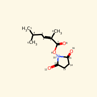 CC(=CCC(C)C)C(=O)ON1C(=O)CCC1=O